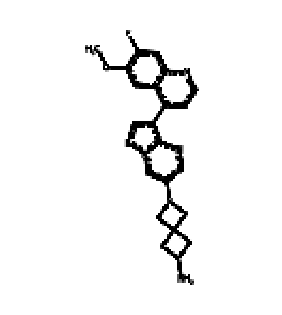 COc1cc2c(-c3cnn4cc(N5CC6(CC(N)C6)C5)cnc34)ccnc2cc1F